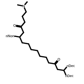 CCCCCCCCCCC(CCCCCCCCCC)CC(=O)CCCCCCCC(CCCCCCCCC)CC(=O)CCCN(C)C